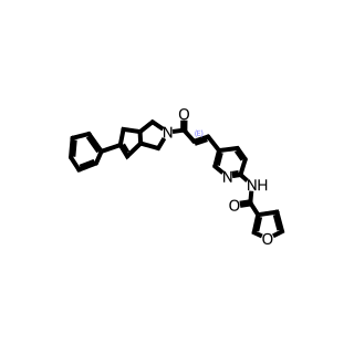 O=C(Nc1ccc(/C=C/C(=O)N2CC3C=C(c4ccccc4)CC3C2)cn1)c1ccoc1